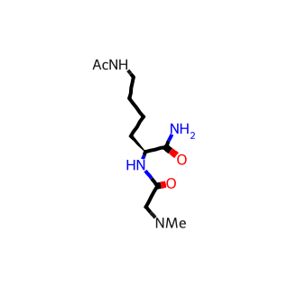 CNCC(=O)N[C@@H](CCCCNC(C)=O)C(N)=O